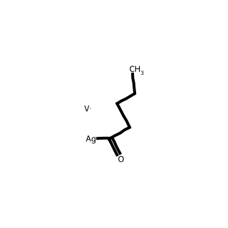 CCCC[C](=O)[Ag].[V]